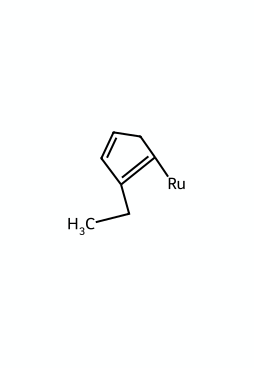 CCC1=[C]([Ru])CC=C1